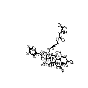 CC(=O)NCC(=O)OCC#CCSC(=O)[C@@]1(OC(=O)c2ccco2)[C@H](C)C[C@H]2[C@@H]3C[C@H](F)C4=CC(=O)C=C[C@]4(C)[C@@]3(F)[C@@H](O)C[C@@]21C